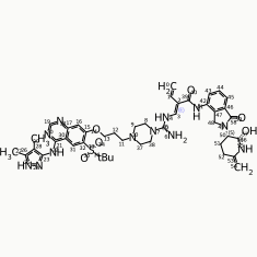 C=C/C(=C\N[C@@H](N)N1CCN(CCCOc2cc3ncnc(Nc4n[nH]c(C)c4C)c3cc2S(=O)(=O)C(C)(C)C)CC1)C(=O)Nc1cccc2c1CN([C@H]1CCC(=C)N[C@H]1O)C2=O